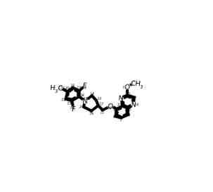 COc1cnc2cccc(OCC3CCN(c4c(F)cc(C)cc4F)CC3)c2n1